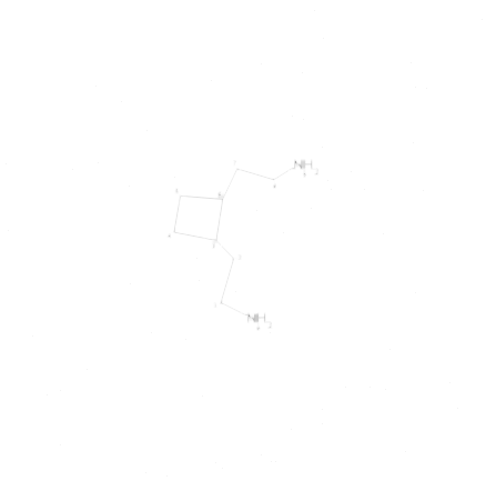 NCCC1CCC1CCN